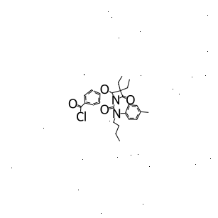 CCCCN(C(=O)N1C(=O)C(CC)(CC)[C@@H]1Oc1ccc(C(=O)Cl)cc1)c1ccc(C)cc1